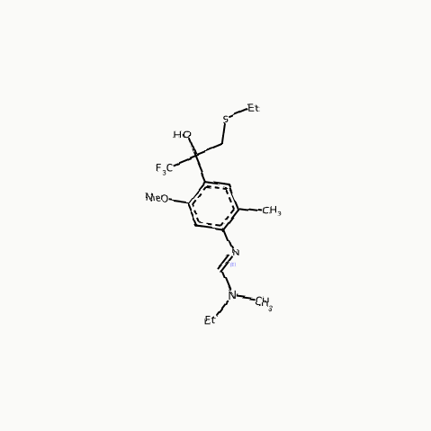 CCSCC(O)(c1cc(C)c(/N=C/N(C)CC)cc1OC)C(F)(F)F